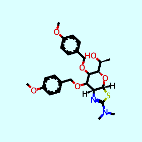 COc1ccc(COC2C(OCc3ccc(OC)cc3)[C@@H]([C@H](C)O)O[C@@H]3SC(N(C)C)=N[C@H]23)cc1